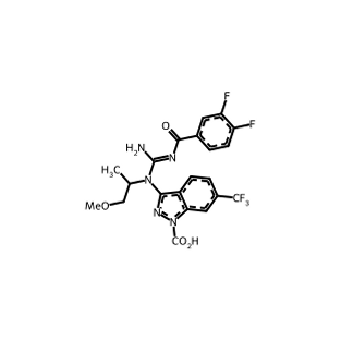 COCC(C)N(C(N)=NC(=O)c1ccc(F)c(F)c1)c1nn(C(=O)O)c2cc(C(F)(F)F)ccc12